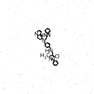 Cc1nn(-c2ccccc2)c(Cl)c1CNCc1ccc(CN(Cc2nc3ccccc3[nH]2)C2C=C3C=CC=NC3CC2)cc1